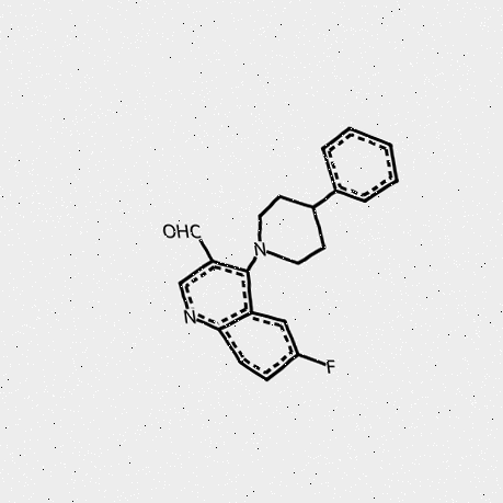 O=Cc1cnc2ccc(F)cc2c1N1CCC(c2ccccc2)CC1